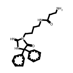 N=C1NC(c2ccccc2)(c2ccccc2)C(=O)N1CCCCNC(=O)CCN